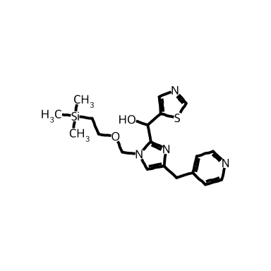 C[Si](C)(C)CCOCn1cc(Cc2ccncc2)nc1C(O)c1cncs1